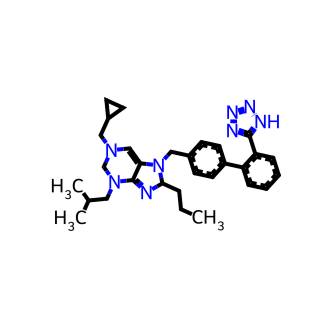 CCCC1N=C2C(=CN(CC3CC3)CN2CC(C)C)N1Cc1ccc(-c2ccccc2-c2nnn[nH]2)cc1